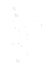 O=C(N1N=CCC1c1cc(F)cc(F)c1)C12CC(Cn3ncc4nccnc43)(C1)C2